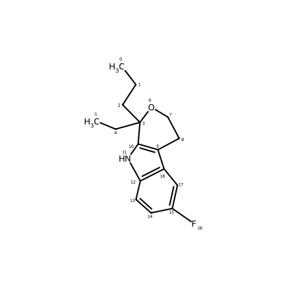 CCCC1(CC)OCCc2c1[nH]c1ccc(F)cc21